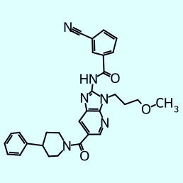 COCCCn1c(NC(=O)c2cccc(C#N)c2)nc2cc(C(=O)N3CCC(c4ccccc4)CC3)cnc21